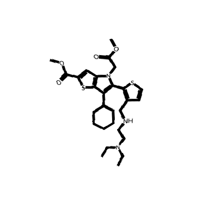 CCN(CC)CCNCc1ccsc1-c1c(C2CCCCC2)c2sc(C(=O)OC)cc2n1CC(=O)OC